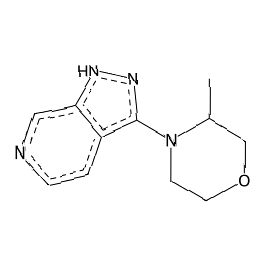 CC1COCCN1c1n[nH]c2cnccc12